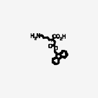 NCCCC[C@H](CC(=O)OCC1c2ccccc2-c2ccccc21)C(=O)O